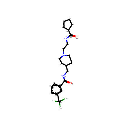 O=C(NCC1CCN(CCNC(=O)C2CCCC2)CC1)c1cccc(C(F)(F)F)c1